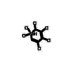 ClC1=[CH][SbH]([Cl])([Cl])[CH](Cl)C(Cl)=C1Cl